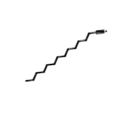 [C]#CCCCCCCCCCCCCC